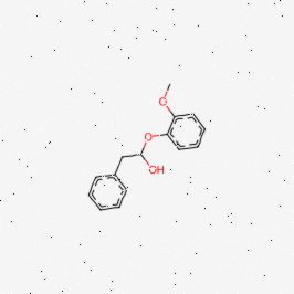 COc1ccccc1OC(O)Cc1ccccc1